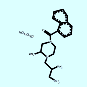 CCCCC1CN(C(=O)c2cccc3ccccc23)CCN1CC(N)CN.Cl.Cl.Cl